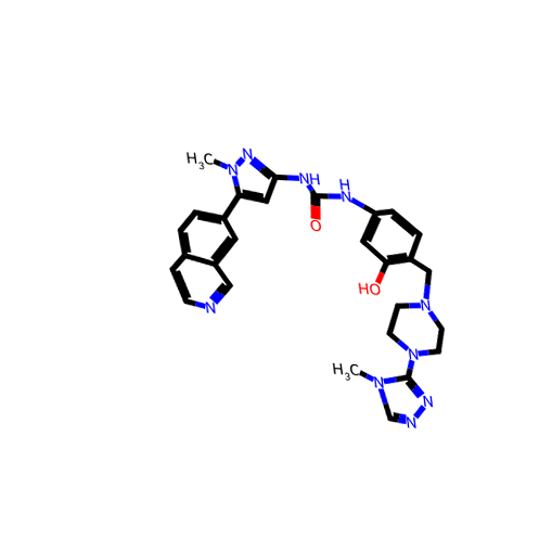 Cn1cnnc1N1CCN(Cc2ccc(NC(=O)Nc3cc(-c4ccc5ccncc5c4)n(C)n3)cc2O)CC1